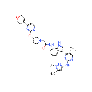 Cc1cnc(Nc2cc(C)n(C)n2)nc1-c1c[nH]c2c(NC(=O)CN3CCC(Oc4nccc(C5=CCOCC5)n4)C3)cccc12